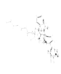 CCCCCCC1CC[C@@H](C(=O)O)N1C[N+]1([O-])C(c2ccc(-c3nn[nH]n3)cc2)=Nc2ccccc21